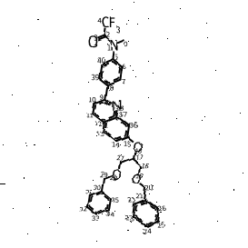 CN(C(=O)C(F)(F)F)c1ccc(-c2ccc3ccc(OC(COCc4ccccc4)COCc4ccccc4)cc3n2)cc1